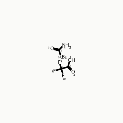 CC(C)(C)C(N)=O.O=C(O)C(F)(F)F